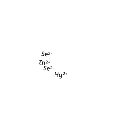 [Hg+2].[Se-2].[Se-2].[Zn+2]